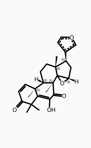 CC1(C)C(=O)C=C[C@]2(C)C1=C(O)C(=O)[C@@]1(C)[C@H]2CC[C@]2(C)[C@@H](c3ccoc3)C[C@@H]3OC312